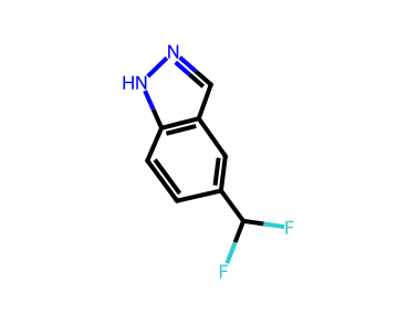 FC(F)c1ccc2[nH]ncc2c1